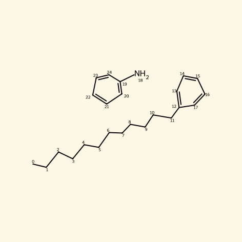 CCCCCCCCCCCCc1ccccc1.Nc1ccccc1